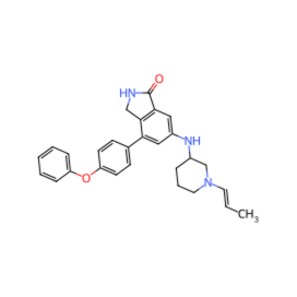 CC=CN1CCCC(Nc2cc3c(c(-c4ccc(Oc5ccccc5)cc4)c2)CNC3=O)C1